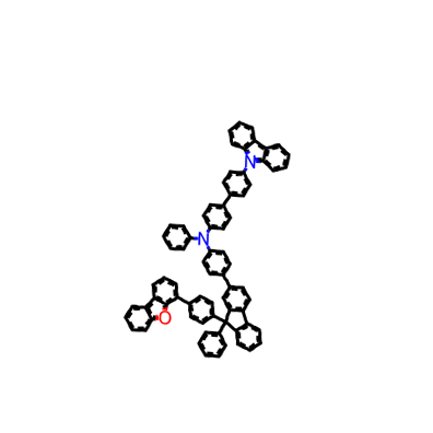 c1ccc(N(c2ccc(-c3ccc(-n4c5ccccc5c5ccccc54)cc3)cc2)c2ccc(-c3ccc4c(c3)C(c3ccccc3)(c3ccc(-c5cccc6c5oc5ccccc56)cc3)c3ccccc3-4)cc2)cc1